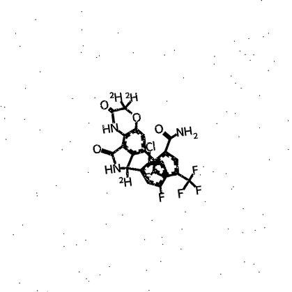 [2H]C1([2H])Oc2cc(-c3c(F)cc(C(F)(F)F)cc3C(N)=O)c3c(c2NC1=O)C(=O)NC3([2H])c1cc(F)ccc1Cl